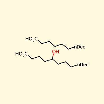 CCCCCCCCCCCCCC(O)CCCC(=O)O.CCCCCCCCCCCCCCCC(=O)O